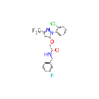 O=C(COc1cc(C(F)(F)F)nn1-c1ccccc1Cl)NCc1cccc(F)c1